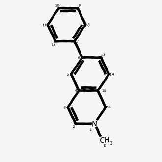 CN1C=Cc2cc(-c3ccccc3)ccc2C1